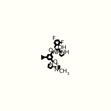 Cc1csc([C@H]2CCCN2C(=O)c2cc(C(=O)N[C@@H](Cc3cc(F)cc(F)c3)[C@@H](O)[C@H]3CCCN3)cc(C3CC3)c2)n1